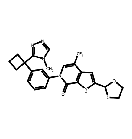 Cn1cnnc1C1(c2cccc(-n3cc(C(F)(F)F)c4cc(C5OCCO5)[nH]c4c3=O)c2)CCC1